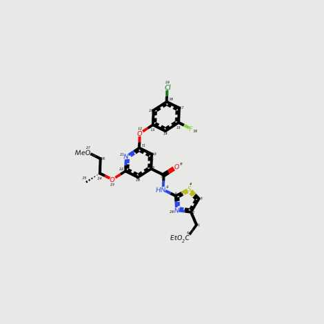 CCOC(=O)Cc1csc(NC(=O)c2cc(Oc3cc(F)cc(Cl)c3)nc(O[C@H](C)COC)c2)n1